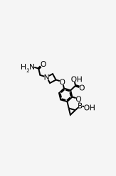 NC(=O)CN1CC(Oc2ccc3c(c2C(=O)O)OB(O)C2CC32)C1